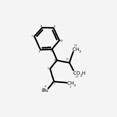 CCC(C)C(C)CC(c1ccccc1)C(C)C(=O)O